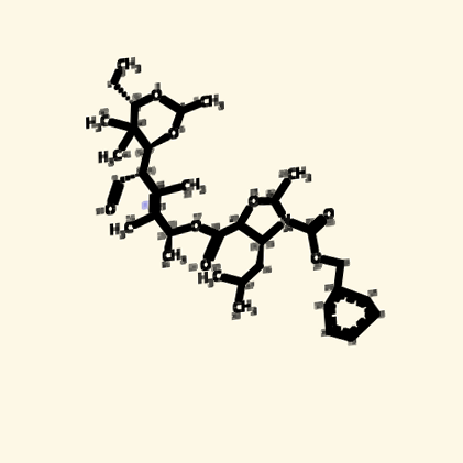 CC[C@@H]1OC(C)O[C@@H]([C@@H](C=O)/C(C)=C(\C)[C@H](C)OC(=O)C2OC(C)N(C(=O)OCc3ccccc3)[C@H]2CC(C)C)C1(C)C